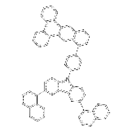 c1ccc2c(-c3ccc4c(c3)c3cc(-c5cccc6ccccc56)ccc3n4-c3ccc(-c4cccc5cc6c7ccccc7c7ccccc7c6cc45)cc3)cccc2c1